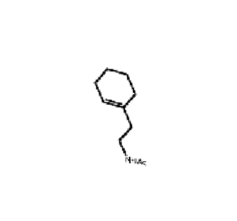 CC(=O)NCCC1=CCCCC1